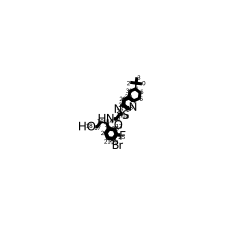 CC(C)(C)[C@H]1CCc2nc3sc(C(=O)N[C@H](CCO)c4ccc(Br)c(F)c4)nc3cc2C1